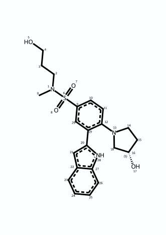 CN(CCCO)S(=O)(=O)c1ccc(N2CC[C@H](O)C2)c(-c2cc3ccccc3[nH]2)c1